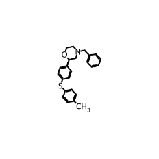 Cc1ccc(Sc2ccc(C3CN(Cc4ccccc4)CCO3)cc2)cc1